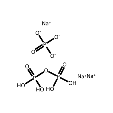 O=P(O)(O)OP(=O)(O)O.O=P([O-])([O-])[O-].[Na+].[Na+].[Na+]